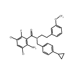 Nc1c(Cl)cc(Cl)c(F)c1C(=O)N(CCc1cccc(OC(F)(F)F)c1)Cc1ccc(C2CC2)cc1